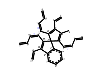 C=C/C=C\C1=C(C)C(C=C)=C(/C=C\C=C)C12C(/C=C\C=C)=C(C=C)c1ccccc12